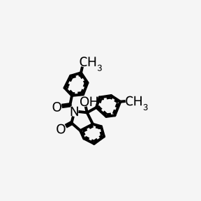 Cc1ccc(C(=O)N2C(=O)c3ccccc3C2(O)c2ccc(C)cc2)cc1